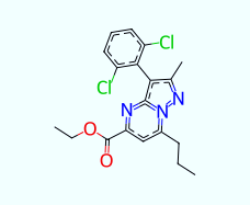 CCCc1cc(C(=O)OCC)nc2c(-c3c(Cl)cccc3Cl)c(C)nn12